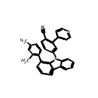 Cc1ccc(-c2cccc3c4ccccc4n(-c4ccc(C#N)c(-c5ccncc5)c4)c23)c(C)c1